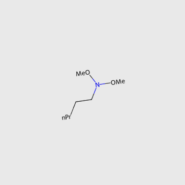 CCCCCN(OC)OC